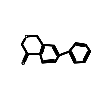 O=C1COCc2cc(-c3ccccc3)ccc21